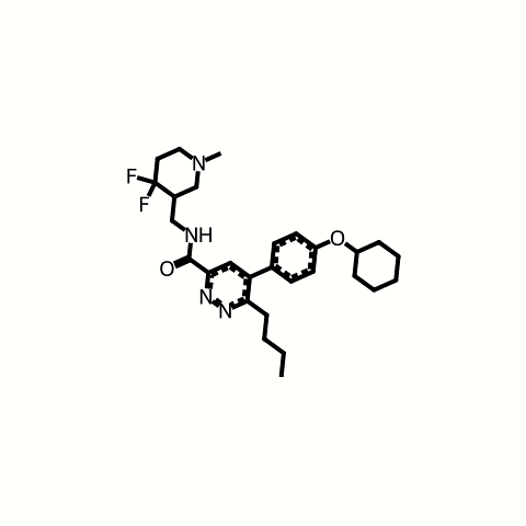 CCCCc1nnc(C(=O)NCC2CN(C)CCC2(F)F)cc1-c1ccc(OC2CCCCC2)cc1